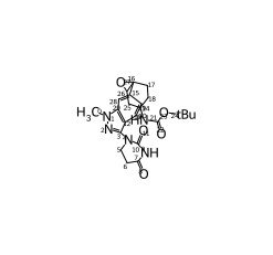 Cn1nc(N2CCC(=O)NC2=O)c2ccc(C34CCC(NC(=O)OC(C)(C)C)CC3O4)cc21